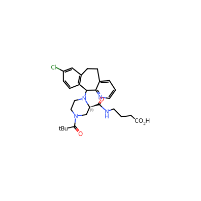 CC(C)(C)C(=O)N1CCN(C2c3ccc(Cl)cc3CCc3cccnc32)[C@@H](C(=O)NCCCC(=O)O)C1